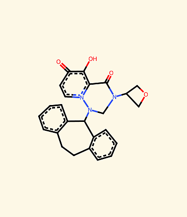 O=C1c2c(O)c(=O)ccn2N(C2c3ccccc3CCc3ccccc32)CN1C1COC1